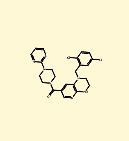 O=C(c1cnc2c(c1)N(Cc1cc(Cl)ccc1Cl)CCN2)N1CCN(c2ncccn2)CC1